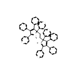 C[Si]1=C(c2ccncc2)C(c2ccccc2)=C(c2ccccc2)C1(CCC1(c2ccncc2)C(c2ccccc2)=C(c2ccccc2)C(c2ccncc2)=[Si]1C)c1ccncc1